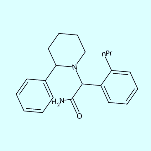 CCCc1ccccc1C(C(N)=O)N1CCCCC1c1ccccc1